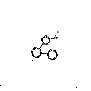 CCCNc1ncc(-c2ccccc2-c2ccccc2)s1